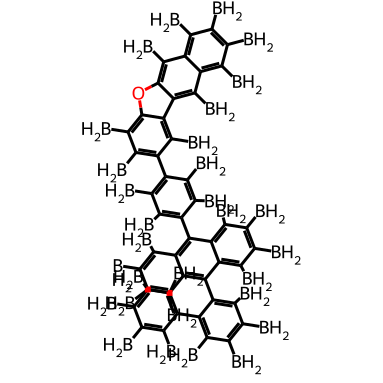 Bc1c(B)c(B)c(-c2c(B)c(B)c(B)c(B)c2-c2c3c(B)c(B)c(B)c(B)c3c(-c3c(B)c(B)c(-c4c(B)c(B)c5oc6c(B)c7c(B)c(B)c(B)c(B)c7c(B)c6c5c4B)c(B)c3B)c3c(B)c(B)c(B)c(B)c23)c(B)c1B